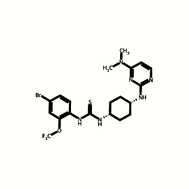 CN(C)c1ccnc(N[C@H]2CC[C@@H](NC(=S)Nc3ccc(Br)cc3OC(F)(F)F)CC2)n1